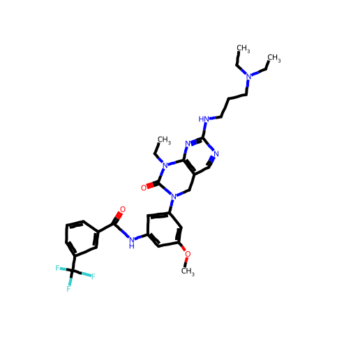 CCN(CC)CCCNc1ncc2c(n1)N(CC)C(=O)N(c1cc(NC(=O)c3cccc(C(F)(F)F)c3)cc(OC)c1)C2